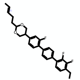 C/C=C/CCC1OCC(c2ccc(-c3ccc(-c4ccc(CC)c(F)c4F)cc3)c(F)c2)CO1